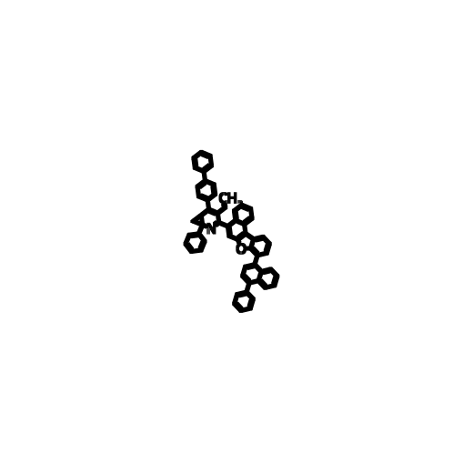 C=CC1=C(c2ccc(-c3ccccc3)cc2)C2CC2(c2ccccc2)N=C1c1cc2oc3c(-c4ccc(-c5ccccc5)c5ccccc45)cccc3c2c2ccccc12